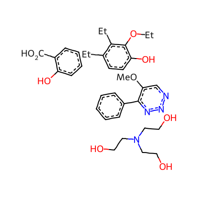 CCOc1c(O)ccc(CC)c1CC.COc1cnnnc1-c1ccccc1.O=C(O)c1ccccc1O.OCCN(CCO)CCO